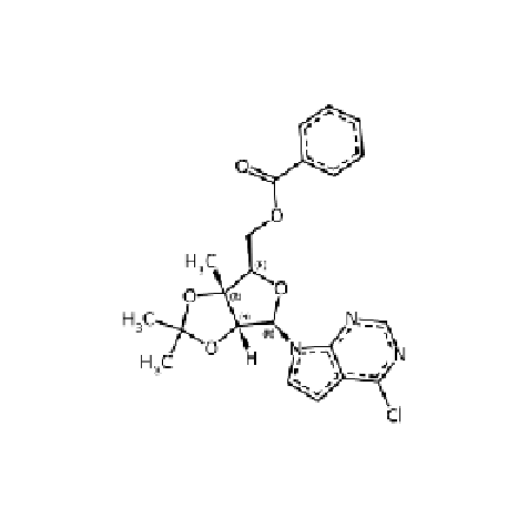 CC1(C)O[C@H]2[C@H](n3ccc4c(Cl)ncnc43)O[C@H](COC(=O)c3ccccc3)[C@@]2(C)O1